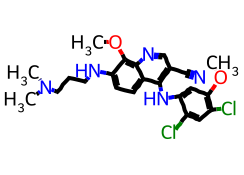 COc1cc(Nc2c(C#N)cnc3c(OC)c(NCCCN(C)C)ccc23)c(Cl)cc1Cl